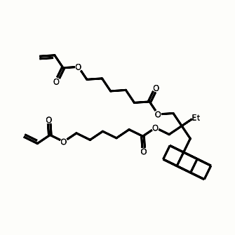 C=CC(=O)OCCCCCC(=O)OCC(CC)(COC(=O)CCCCCOC(=O)C=C)CC12C3C4C5C3C1C5C42